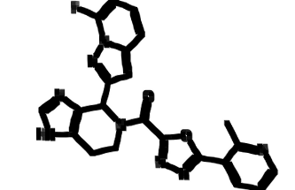 Cc1ncccc1-c1nnc(C(=O)N2CCc3[nH]cnc3C2c2cc3cccc(F)n3n2)o1